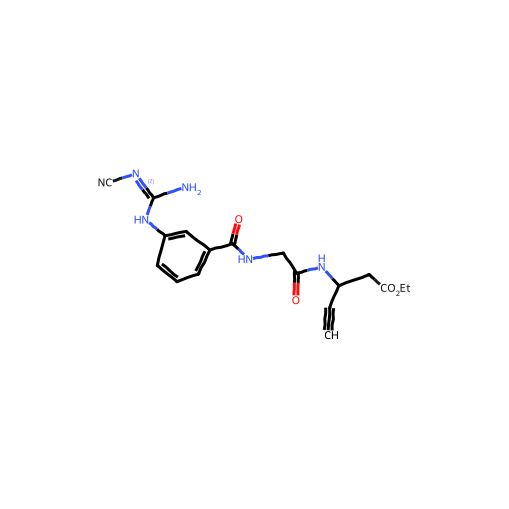 C#CC(CC(=O)OCC)NC(=O)CNC(=O)c1cccc(N/C(N)=N\C#N)c1